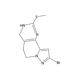 CSC1=NC2=C(CCn3nc(Br)cc32)CN1